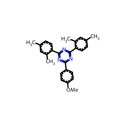 COc1ccc(-c2nc(-c3ccc(C)cc3C)nc(-c3ccc(C)cc3C)n2)cc1